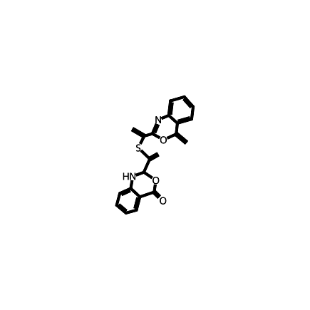 C=C(SC(=C)C1Nc2ccccc2C(=O)O1)C1=Nc2ccccc2C(=C)O1